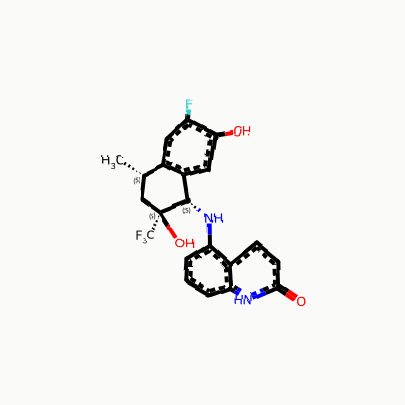 C[C@H]1C[C@@](O)(C(F)(F)F)[C@@H](Nc2cccc3[nH]c(=O)ccc23)c2cc(O)c(F)cc21